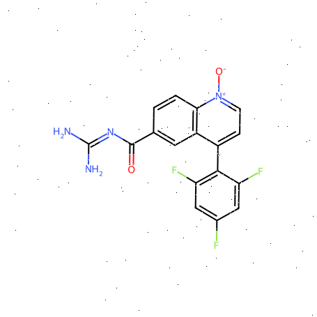 NC(N)=NC(=O)c1ccc2c(c1)c(-c1c(F)cc(F)cc1F)cc[n+]2[O-]